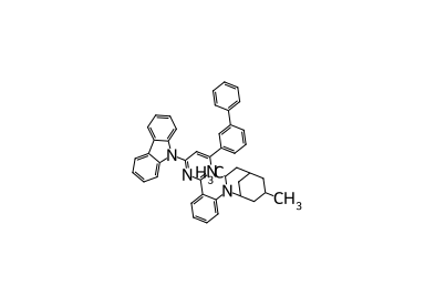 CC1CC2CC(C)N(c3ccccc3-c3nc(-c4cccc(-c5ccccc5)c4)cc(-n4c5ccccc5c5ccccc54)n3)C(C1)C2